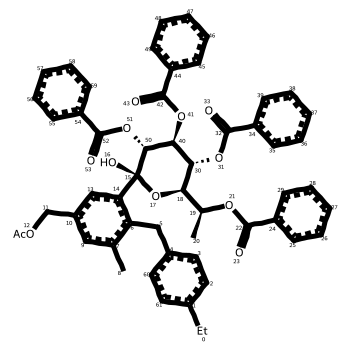 CCc1ccc(Cc2c(C)cc(COC(C)=O)cc2[C@@]2(O)O[C@H]([C@H](C)OC(=O)c3ccccc3)[C@@H](OC(=O)c3ccccc3)[C@H](OC(=O)c3ccccc3)[C@H]2OC(=O)c2ccccc2)cc1